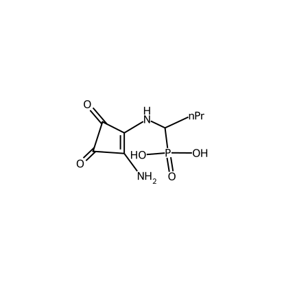 CCCC(Nc1c(N)c(=O)c1=O)P(=O)(O)O